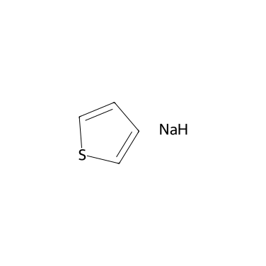 [NaH].c1ccsc1